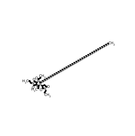 C=C=C=C=C=C=C=C=C=C=C=C=C=C=C=C=C=C=C=C=C=C=C=C=C=C=C=C=C=C=C=C=C=C=C=C(N(C(=O)C=C)C1CC(=O)N(CC=C)C1=O)N(C(=O)C=C)C1CC(=O)N(CC=C)C1=O